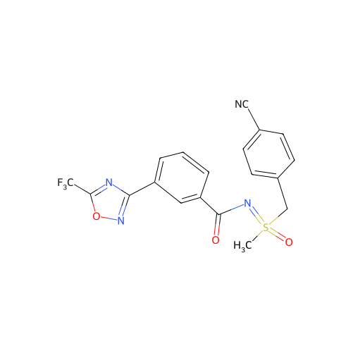 CS(=O)(Cc1ccc(C#N)cc1)=NC(=O)c1cccc(-c2noc(C(F)(F)F)n2)c1